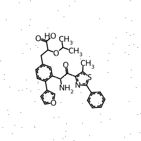 Cc1sc(-c2ccccc2)nc1C(=O)C(N)c1cc(CC(OC(C)C)C(=O)O)ccc1-c1ccoc1